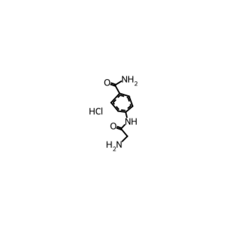 Cl.NCC(=O)Nc1ccc(C(N)=O)cc1